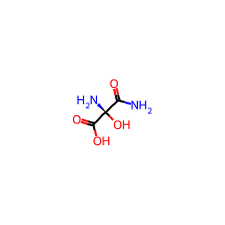 NC(=O)[C@](N)(O)C(=O)O